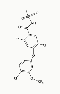 CS(=O)(=O)NC(=O)c1cc(Cl)c(Oc2ccc(Cl)c(OC(F)(F)F)c2)cc1F